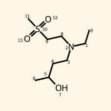 CCN(CCC(C)O)CCS(C)(=O)=O